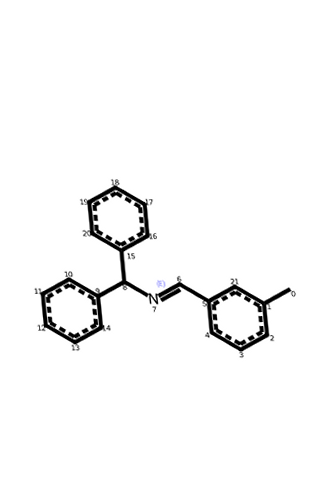 Cc1cccc(/C=N/C(c2ccccc2)c2ccccc2)c1